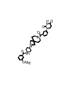 COc1cccc(C(=O)NN2CCC(N3CC4(CCN(C(=O)c5cccc(N6CCC(=O)NC6=O)c5)CC4)C3)CC2)c1